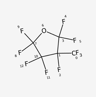 FC(F)(F)C1(F)C(F)(F)OC(F)(F)C1(F)F